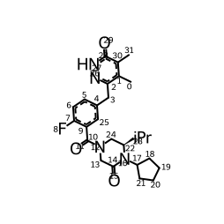 Cc1c(Cc2ccc(F)c(C(=O)N3CC(=O)N(C4CCCC4)[C@H](C(C)C)C3)c2)n[nH]c(=O)c1C